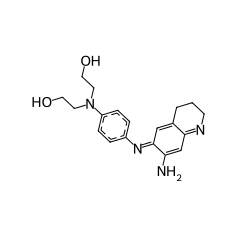 NC1=CC2=NCCCC2=CC1=Nc1ccc(N(CCO)CCO)cc1